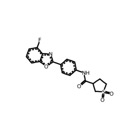 O=C(Nc1ccc(-c2nc3c(F)cccc3o2)cc1)C1CCS(=O)(=O)C1